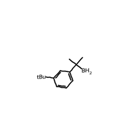 BC(C)(C)c1cccc(C(C)(C)C)c1